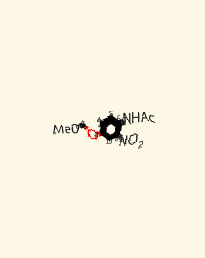 COCOc1ccc(NC(C)=O)c([N+](=O)[O-])c1